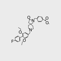 CCOc1cc(CN2CCC3(CC2)CC(=O)N(Cc2ccc(C(=O)OC)cc2)C3)cc(OCC)c1-c1ccc(F)cc1